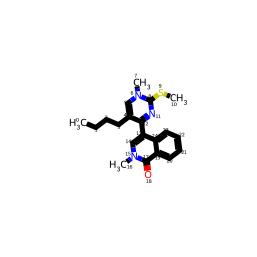 CCCCC1=CN(C)C(SC)N=C1c1cn(C)c(=O)c2ccccc12